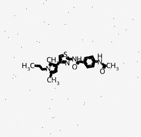 CCCn1c(C)cc(-c2csc(NC(=O)c3ccc(NC(C)=O)cc3)n2)c1C